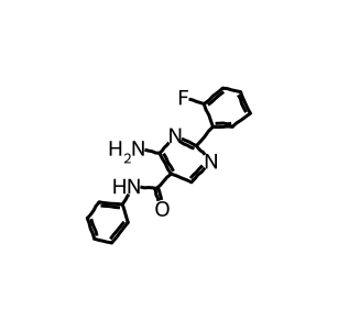 Nc1nc(-c2ccccc2F)ncc1C(=O)Nc1ccccc1